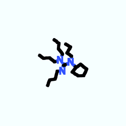 CCCCN=C(N(CCCC)CCCC)N(CCCC)C1CCCCC1